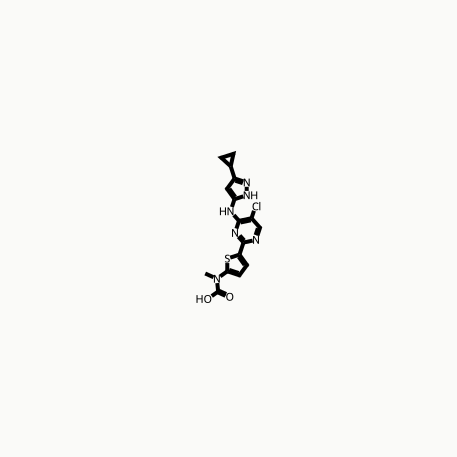 CN(C(=O)O)c1ccc(-c2ncc(Cl)c(Nc3cc(C4CC4)n[nH]3)n2)s1